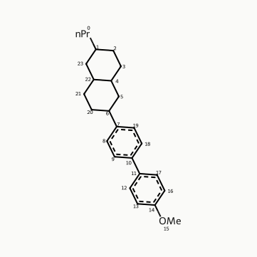 CCCC1CCC2CC(c3ccc(-c4ccc(OC)cc4)cc3)CCC2C1